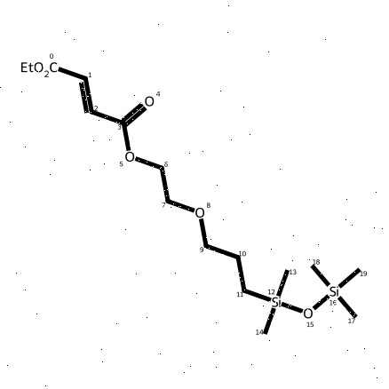 CCOC(=O)/C=C/C(=O)OCCOCCC[Si](C)(C)O[Si](C)(C)C